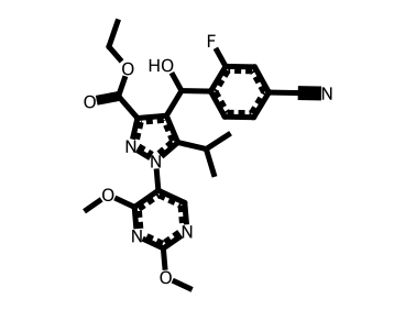 CCOC(=O)c1nn(-c2cnc(OC)nc2OC)c(C(C)C)c1C(O)c1ccc(C#N)cc1F